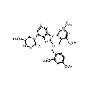 COc1ccc(CN(Cc2ccc(OC)cc2OC)c2nc3cncc(N4C[C@H](C(=O)O)OC[C@@H]4C)c3o2)c(OC)c1